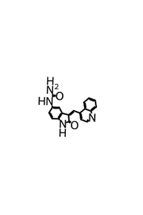 NC(=O)Nc1ccc2c(c1)C(=Cc1ccnc3ccccc13)C(=O)N2